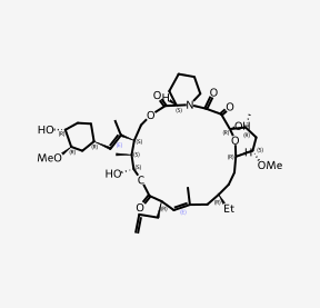 C=CC[C@@H]1/C=C(\C)C[C@H](CC)CC[C@H]2O[C@@](O)(C(=O)C(=O)N3CCCC[C@H]3C(=O)OC[C@H](/C(C)=C/[C@@H]3CC[C@@H](O)[C@H](OC)C3)[C@H](C)[C@@H](O)CC1=O)[C@H](C)C[C@@H]2OC